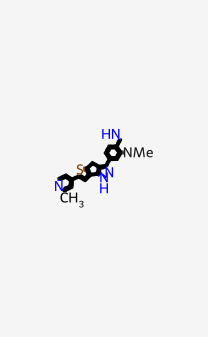 CNc1cc(-c2n[nH]c3c2Cc2sc(-c4ccnc(C)c4)cc2-3)ccc1C=N